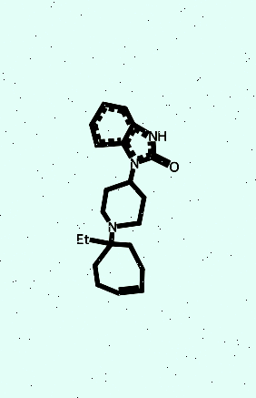 CCC1(N2CCC(n3c(=O)[nH]c4ccccc43)CC2)CCC=CCC1